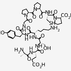 C[C@H](N)C(=O)N[C@@H](CCC(=O)O)C(=O)N[C@@H](CO)C(=O)N[C@@H](CCCCN)C(=O)N[C@@H](Cc1ccc(O)cc1)C(=O)NCC(=O)N1CCC[C@H]1C(=O)N1CCC[C@H]1C(=O)N[C@@H](CS)C(=O)N1CCC[C@H]1C(=O)O